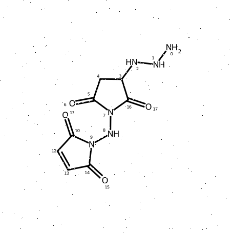 NNNC1CC(=O)N(NN2C(=O)C=CC2=O)C1=O